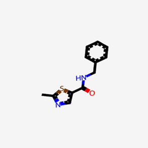 Cc1ncc(C(=O)NCc2ccccc2)s1